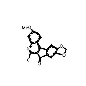 COc1ccc2c3c(c(Cl)nc2c1)C(=O)c1cc2c(cc1-3)OCO2